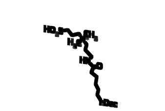 CCCCCCCCCCCCCCCC(=O)NCCC[N+](C)(C)CCCS(=O)(=O)O